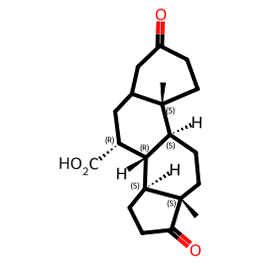 C[C@]12CCC(=O)CC1C[C@@H](C(=O)O)[C@@H]1[C@@H]2CC[C@]2(C)C(=O)CC[C@@H]12